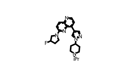 CC(C)N1CCC(n2cc(-c3ccnc4ccc(N5CCC(F)C5)nc34)cn2)CC1